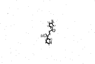 O=C(CC[C@H](O)c1cccnc1)N1CC[C@H](F)C1